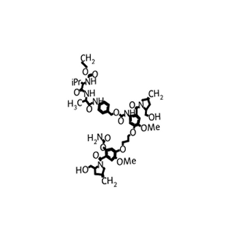 C=CCOC(=O)NC(C(=O)NC(C)C(=O)Nc1ccc(COC(=O)Nc2cc(OCCCOc3cc(OC(N)=O)c(C(=O)N4CC(=C)CC4CO)cc3OC)c(OC)cc2C(=O)N2CC(=C)CC2CO)cc1)C(C)C